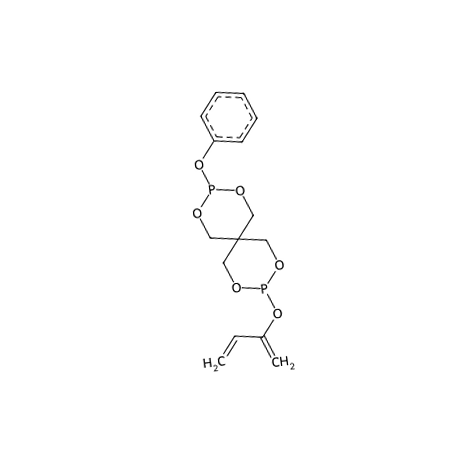 C=CC(=C)OP1OCC2(CO1)COP(Oc1ccccc1)OC2